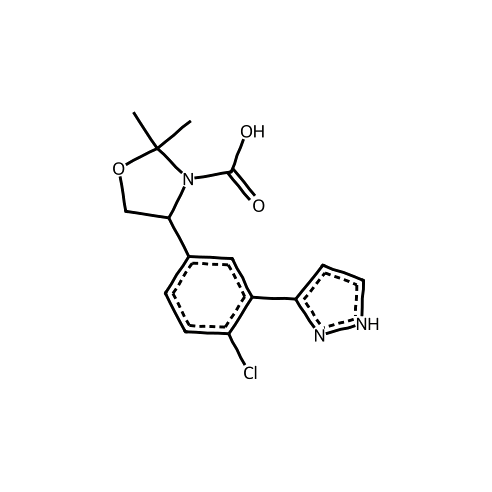 CC1(C)OCC(c2ccc(Cl)c(-c3cc[nH]n3)c2)N1C(=O)O